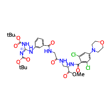 COC(=O)C(CNC(=O)CNC(=O)c1cccc(N/C(=N\C(=O)OC(C)(C)C)NC(=O)OC(C)(C)C)c1)NC(=O)c1c(Cl)cc(N2CCOCC2)cc1Cl